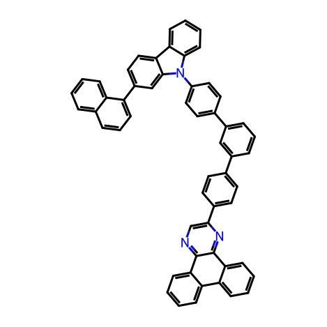 c1cc(-c2ccc(-c3cnc4c5ccccc5c5ccccc5c4n3)cc2)cc(-c2ccc(-n3c4ccccc4c4ccc(-c5cccc6ccccc56)cc43)cc2)c1